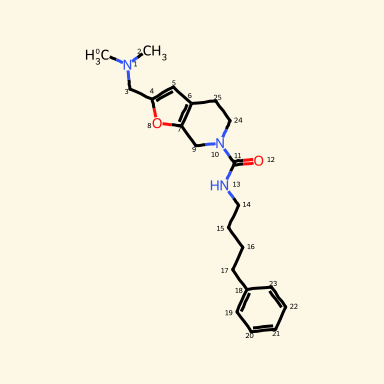 CN(C)Cc1cc2c(o1)CN(C(=O)NCCCCc1ccccc1)CC2